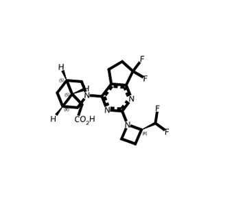 O=C(O)C[C@H]1[C@@H]2C[C@H]1CN(c1nc(N3CC[C@@H]3C(F)F)nc3c1CCC3(F)F)C2